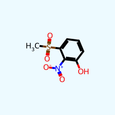 CS(=O)(=O)c1cccc(O)c1[N+](=O)[O-]